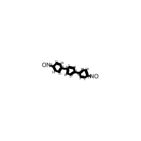 O=Nc1ccc(-c2ccc(-c3ccc(N=O)cc3)cc2)cc1